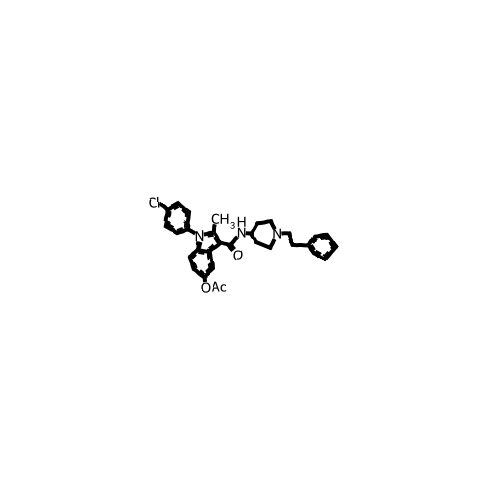 CC(=O)Oc1ccc2c(c1)c(C(=O)NC1CCN(CCc3ccccc3)CC1)c(C)n2-c1ccc(Cl)cc1